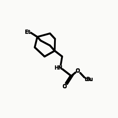 CCC12CCC(CNC(=O)OC(C)(C)C)(CC1)CC2